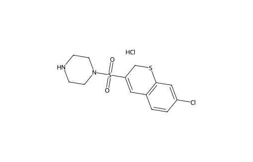 Cl.O=S(=O)(C1=Cc2ccc(Cl)cc2SC1)N1CCNCC1